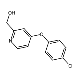 OCc1cc(Oc2ccc(Cl)cc2)ccn1